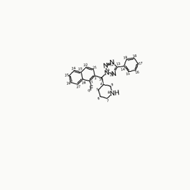 Fc1c(C([C@@H]2CCCNC2)n2nnc(-c3ccccc3)n2)ccc2ccccc12